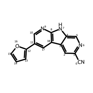 N#Cc1cc2c(cn1)[nH]c1ncc(-c3ccco3)cc12